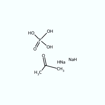 CC(C)=O.O=P(O)(O)O.[NaH].[NaH]